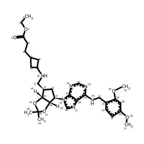 CCOC(=O)CCC1CC(NC[C@H]2C[C@@H](n3cnc4c(NCc5ccc(OC)cc5OC)ncnc43)[C@@H]3OC(C)(C)O[C@H]23)C1